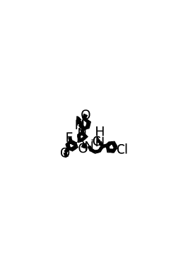 COc1ccc([C@@H]2CN(c3ccc(=O)n(C)n3)C[C@H]2C(=O)N2CCCC(c3ccc(Cl)cc3)NCC2)c(F)c1